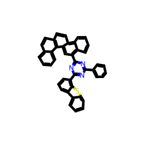 c1ccc(-c2nc(-c3cc4c(ccc5ccc6ccccc6c54)c4ccccc34)nc(-c3cccc4c3sc3ccccc34)n2)cc1